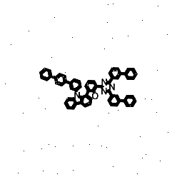 c1ccc(-c2ccc(-c3cccc(-n4c5ccccc5c5ccc6oc7c(-c8nc(-c9cccc(-c%10ccccc%10)c9)nc(-c9cccc(-c%10ccccc%10)c9)n8)cccc7c6c54)c3)cc2)cc1